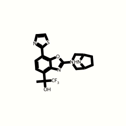 CC(O)(c1ccc(-c2nccs2)c2oc(N3CC4CCC(C3)N4)nc12)C(F)(F)F